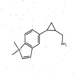 C[N+]1(C)C=Cc2cc(C3CC3CN)ccc21